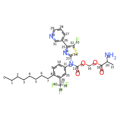 CCCCCCCCc1ccc(N(C(=O)OCOC(=O)C(C)N)c2nc(-c3cccnc3)c(F)s2)cc1C(F)(F)F